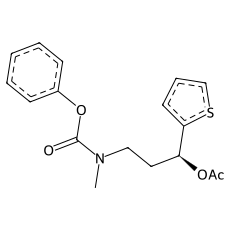 CC(=O)O[C@@H](CCN(C)C(=O)Oc1ccccc1)c1cccs1